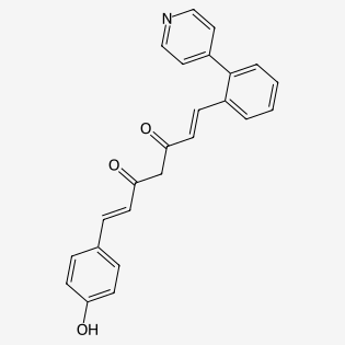 O=C(/C=C/c1ccc(O)cc1)CC(=O)/C=C/c1ccccc1-c1ccncc1